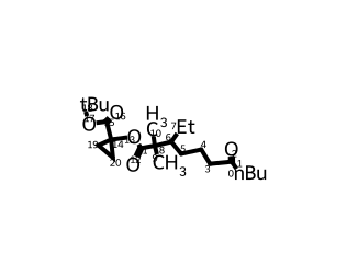 CCCCC(=O)CCCC(CC)C(C)(C)C(=O)OC1(C(=O)OC(C)(C)C)CC1